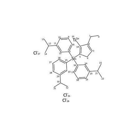 CCC1=CCC([Si](c2cccc(C(C)C)c2)(c2cccc(C(C)C)c2)c2cccc(C(C)C)c2)=[C]1[Ti+3].[Cl-].[Cl-].[Cl-]